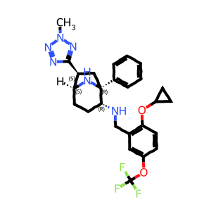 Cn1nnc([C@H]2C[C@]3(c4ccccc4)N[C@H]2CC[C@H]3NCc2cc(OC(F)(F)F)ccc2OC2CC2)n1